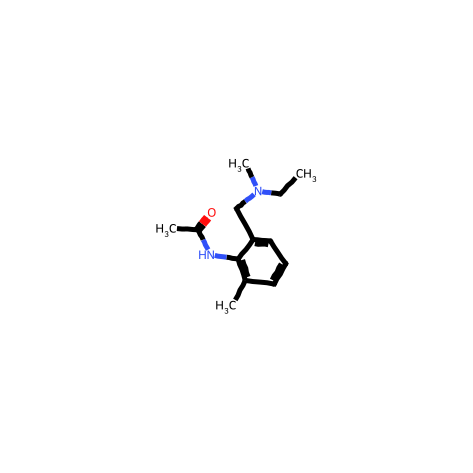 CCN(C)Cc1cccc(C)c1NC(C)=O